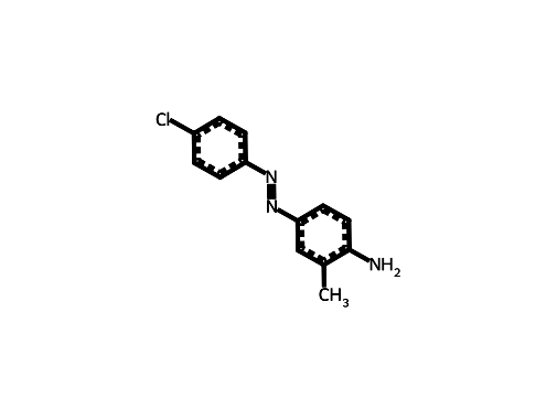 Cc1cc(N=Nc2ccc(Cl)cc2)ccc1N